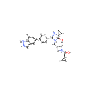 Cc1cc(-c2ccc(C3=NC4(CC4)C(=O)N3CC3CN(C(=O)C4CC4)C3)cc2)cc2cnn(C)c12